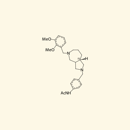 COc1cccc(CN2CCC[C@@H]3CN(Cc4ccc(NC(C)=O)cc4)CC3C2)c1OC